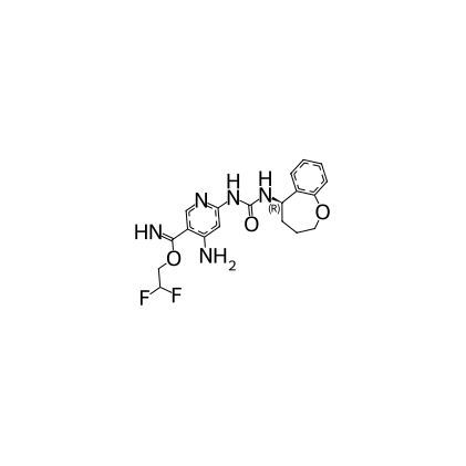 N=C(OCC(F)F)c1cnc(NC(=O)N[C@@H]2CCCOc3ccccc32)cc1N